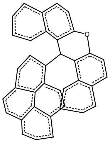 c1ccc2c3c(ccc2c1)Oc1ccc2ccccc2c1C3c1ccc2ccc3cccc4ccc1c2c34